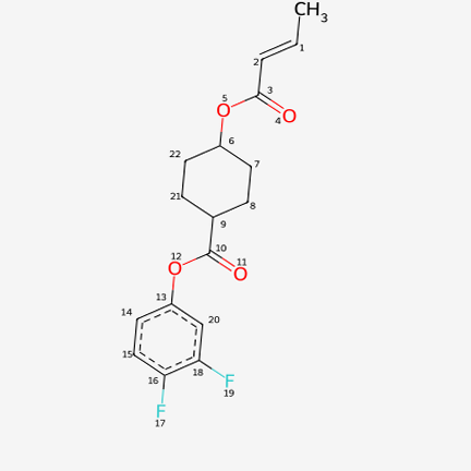 C/C=C/C(=O)OC1CCC(C(=O)Oc2ccc(F)c(F)c2)CC1